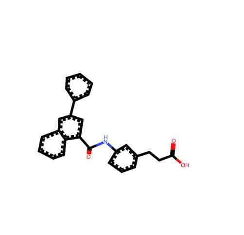 O=C(O)CCc1cccc(NC(=O)c2cc(-c3ccccc3)cc3ccccc23)c1